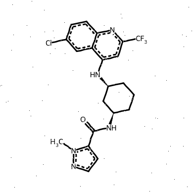 Cn1nccc1C(=O)N[C@@H]1CCC[C@H](Nc2cc(C(F)(F)F)nc3ccc(Cl)cc23)C1